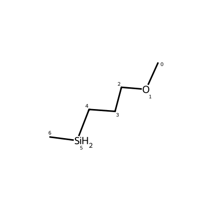 COCCC[SiH2]C